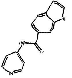 O=C(Nc1ccncc1)c1ccc2cc[nH]c2c1